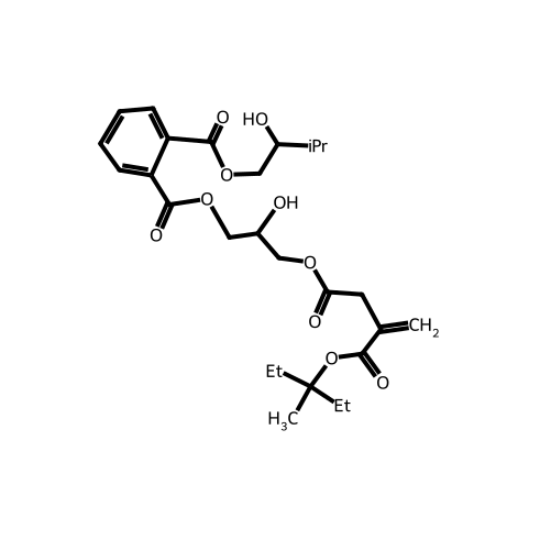 C=C(CC(=O)OCC(O)COC(=O)c1ccccc1C(=O)OCC(O)C(C)C)C(=O)OC(C)(CC)CC